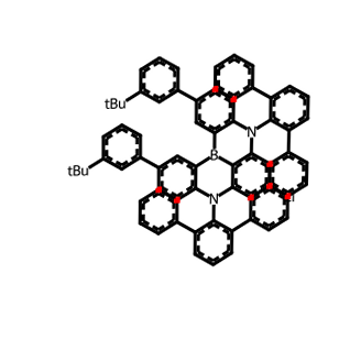 CC(C)(C)c1cccc(-c2ccc3c(c2)B2c4cc(-c5cccc(C(C)(C)C)c5)ccc4N(c4c(-c5ccccc5)cccc4-c4ccccc4)c4cc(Cl)cc(c42)N3c2c(-c3ccccc3)cccc2-c2ccccc2)c1